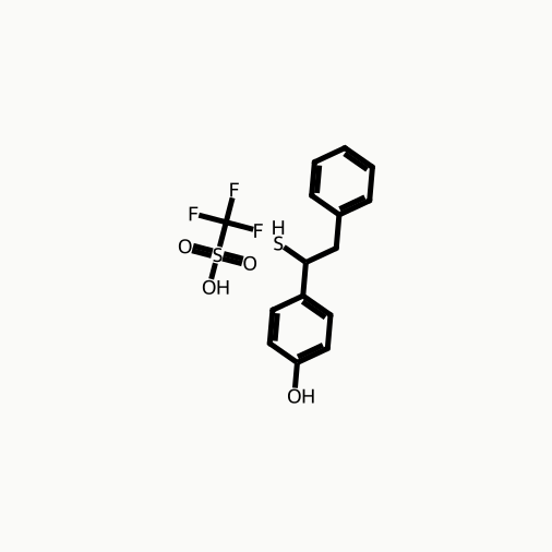 O=S(=O)(O)C(F)(F)F.Oc1ccc(C(S)Cc2ccccc2)cc1